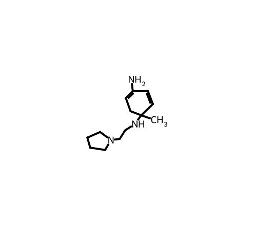 CC1(NCCN2CCCC2)C=CC(N)=CC1